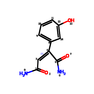 NC(=O)/C=C(\C(N)=O)c1cccc(O)c1